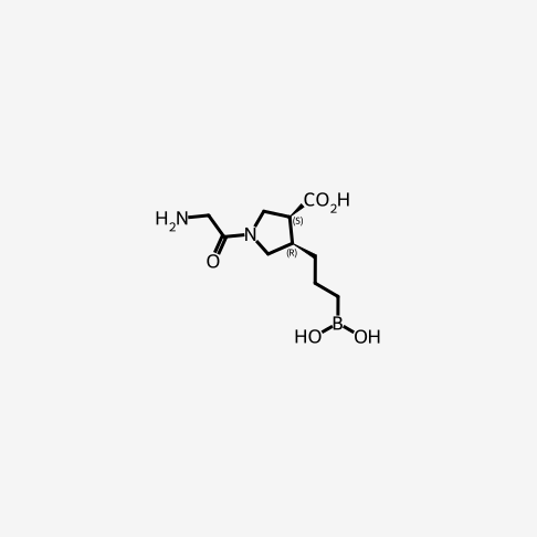 NCC(=O)N1C[C@H](CCCB(O)O)[C@H](C(=O)O)C1